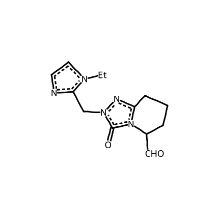 CCn1ccnc1Cn1nc2n(c1=O)C(C=O)CCC2